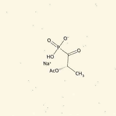 CC(=O)O[C@@H](C)C(=O)P(=O)([O-])O.[Na+]